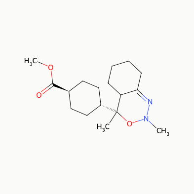 COC(=O)[C@H]1CC[C@H](C2(C)ON(C)N=C3CCCCC32)CC1